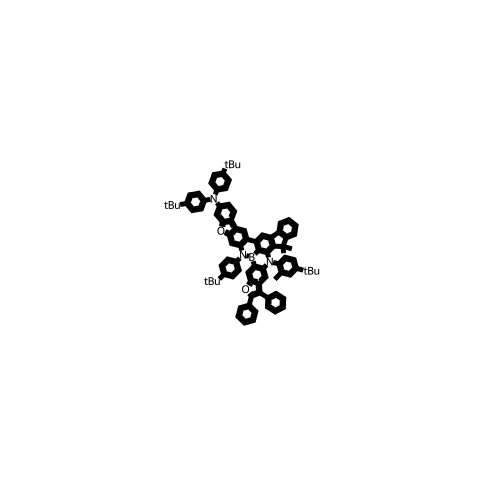 Cc1cc(C(C)(C)C)ccc1N1c2cc3c(-c4ccccc4)c(-c4ccccc4)oc3cc2B2c3c(cc4c(c31)C(C)(C)c1ccccc1-4)-c1cc3c(cc1N2c1ccc(C(C)(C)C)cc1)oc1cc(N(c2ccc(C(C)(C)C)cc2)c2ccc(C(C)(C)C)cc2)ccc13